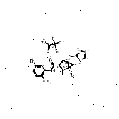 Cc1ccc(Br)nc1NC(=O)[C@@H]1C[C@@]2(Cc3nnco3)C[C@H]2N1.O=C(O)C(F)(F)F